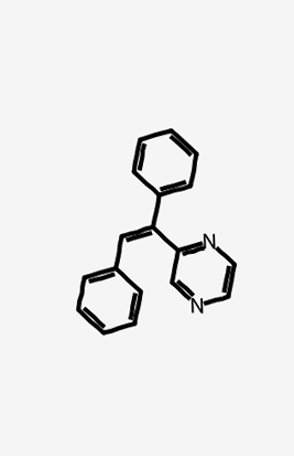 C(=C(c1ccccc1)c1cnccn1)c1ccccc1